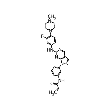 C=CC(=O)Nc1cccc(-n2ncc3cnc(Nc4ccc(N5CCN(C)CC5)c(F)c4)nc32)c1